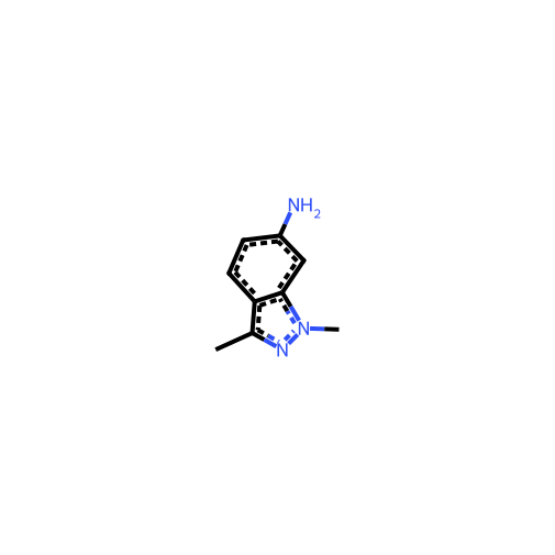 Cc1nn(C)c2cc(N)ccc12